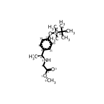 COC(=O)CN[C@@H](C)c1ccc(O[Si](C)(C)C(C)(C)C)cc1